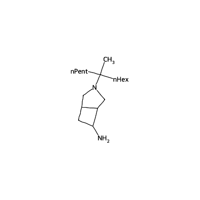 CCCCCCC(C)(CCCCC)N1CC2CC(N)C2C1